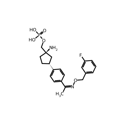 CC(=NOCc1cccc(F)c1)c1ccc([C@@H]2CC[C@](N)(COP(=O)(O)O)C2)cc1